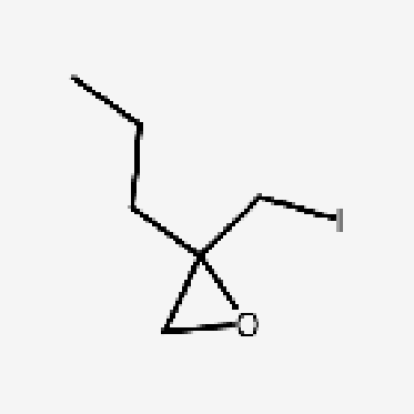 CCCC1(CI)CO1